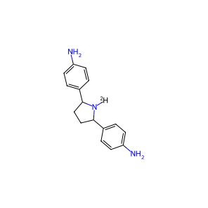 [2H]N1C(c2ccc(N)cc2)CCC1c1ccc(N)cc1